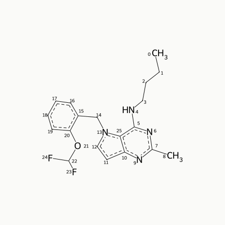 CCCCNc1nc(C)nc2ccn(Cc3ccccc3OC(F)F)c12